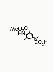 COC(=O)Nc1c(C)cc(N(C)C(=O)O)cc1C